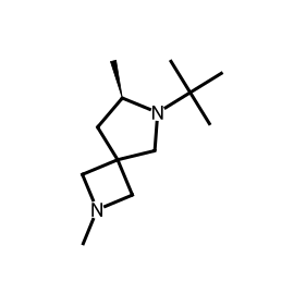 C[C@@H]1CC2(CN(C)C2)CN1C(C)(C)C